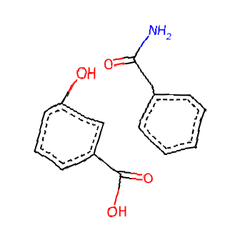 NC(=O)c1ccccc1.O=C(O)c1cccc(O)c1